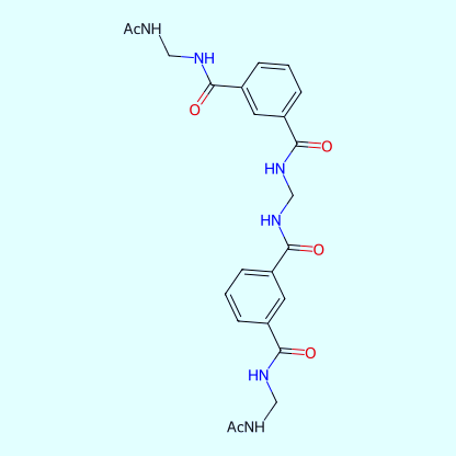 CC(=O)NCNC(=O)c1cccc(C(=O)NCNC(=O)c2cccc(C(=O)NCNC(C)=O)c2)c1